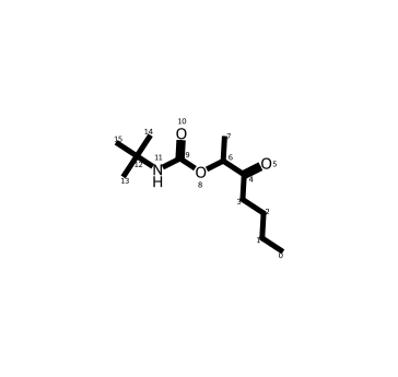 CCCCC(=O)C(C)OC(=O)NC(C)(C)C